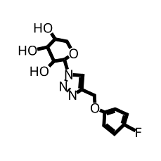 OC1COC(n2cc(COc3ccc(F)cc3)nn2)C(O)C1O